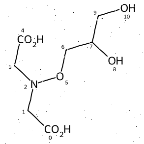 O=C(O)CN(CC(=O)O)OCC(O)CO